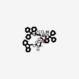 C[C@H](NC(=O)OCC1c2ccccc2-c2ccccc21)C(=O)N[C@@H](CC(=O)NC(c1ccccc1)(c1ccccc1)c1ccccc1)C(=O)N[C@@H](CC(=O)NC(c1ccccc1)(c1ccccc1)c1ccccc1)C(=O)O